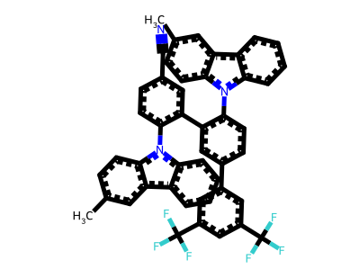 Cc1ccc2c(c1)c1ccccc1n2-c1ccc(C#N)cc1-c1cc(-c2cc(C(F)(F)F)cc(C(F)(F)F)c2)ccc1-n1c2ccccc2c2cc(C)ccc21